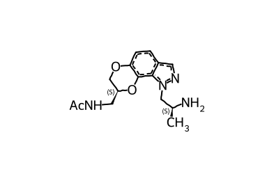 CC(=O)NC[C@H]1COc2ccc3cnn(C[C@H](C)N)c3c2O1